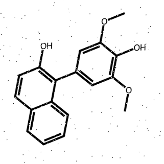 COc1cc(-c2c(O)ccc3ccccc23)cc(OC)c1O